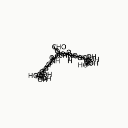 CC(COCCC=O)(COCCC(=O)NCCOCCOCCO[C@H]1OC(CO)[C@@H](O)[C@H](O)C1O)COCCC(=O)NCCOCCOCCO[C@H]1OC(CO)[C@@H](O)[C@H](O)C1O